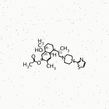 CC(=O)O[C@@H]1[C][C@@]2(O)[C@H](C)CC[C@@H]([C@H](C)CN3CCN(c4nccs4)CC3)[C@H]2C=C1C